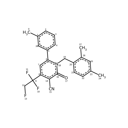 Cc1cccc(-c2cc(C(F)(F)CF)c(C#N)c(=O)n2Cc2ccc(C)cc2C)c1